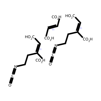 O=C(O)/C=C/C(=O)O.O=C=NCC/C(=C\C(=O)O)C(=O)O.O=C=NCC/C(=C\C(=O)O)C(=O)O